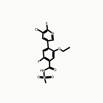 CCOc1cc(C(=O)NS(C)(=O)=O)c(F)cc1-c1cnc(F)c(Cl)c1